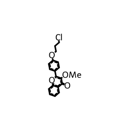 COc1c(-c2ccc(OCCCCl)cc2)oc2ccccc2c1=O